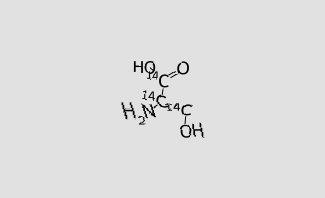 N[14CH]([14CH2]O)[14C](=O)O